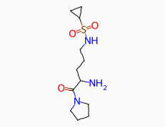 NC(CCCNS(=O)(=O)C1CC1)C(=O)N1CCCC1